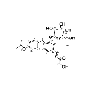 CC(C)Oc1ccc(Cc2ccc(COC(=O)CO)cc2O[C@@H]2O[C@H]([C@@H](C)O)[C@@H](O)[C@H](O)[C@H]2O)cc1